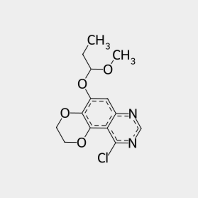 CCC(OC)Oc1cc2ncnc(Cl)c2c2c1OCCO2